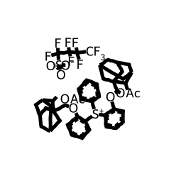 CC(=O)OC(Oc1ccccc1[S+](c1ccccc1)c1ccccc1OC(OC(C)=O)C12CC3CC(CC(C3)C1C)C2)C12CC3CC(CC(C3)C1C)C2.O=S(=O)([O-])C(F)(F)C(F)(F)C(F)(F)C(F)(F)F